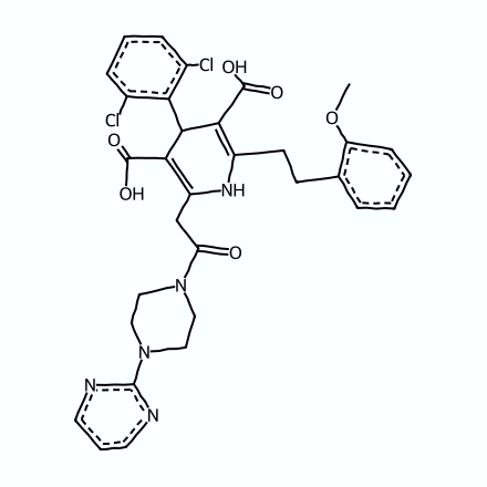 COc1ccccc1CCC1=C(C(=O)O)C(c2c(Cl)cccc2Cl)C(C(=O)O)=C(CC(=O)N2CCN(c3ncccn3)CC2)N1